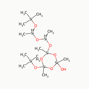 C[SiH](O[SiH](C)O[Si]1(C)O[Si](C)(O)O[Si](C)(O[Si](C)(C)C)O1)O[Si](C)(C)C